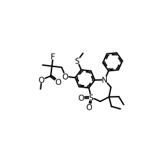 CCC1(CC)CN(c2ccccc2)c2cc(SC)c(OCC(C)(F)C(=O)OC)cc2S(=O)(=O)C1